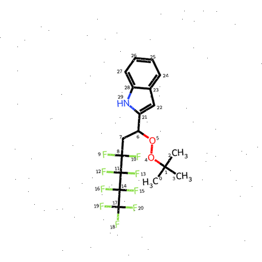 CC(C)(C)OOC(CC(F)(F)C(F)(F)C(F)(F)C(F)(F)F)c1cc2ccccc2[nH]1